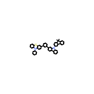 CC1(C)c2ccccc2-c2cc(-n3c4ccccc4c4ccc(-c5cccc(-c6ccc7c(c6)Sc6ccccc6N7c6ccccc6)c5)cc43)ccc21